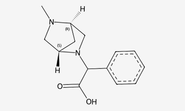 CN1C[C@@H]2C[C@@H]1CN2C(C(=O)O)c1ccccc1